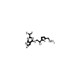 Cn1cc2c(SCC(=O)c3ccc(CN)s3)nc(C(F)F)nc2n1